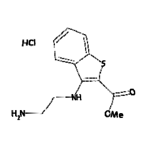 COC(=O)c1sc2ccccc2c1NCCN.Cl